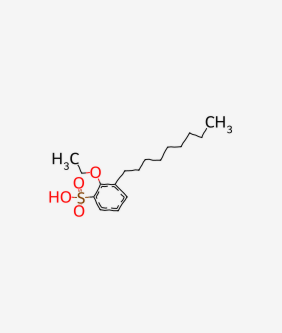 CCCCCCCCCc1cccc(S(=O)(=O)O)c1OCC